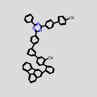 N#Cc1ccc(-c2ccc(-c3nc(-c4ccccc4)nc(-c4ccc(-c5cccc(-c6ccc(-c7ccccc7-c7cc8c9c(cccc9c7)-c7ccccc7-8)c(C#N)c6)c5)cc4)n3)cc2)cc1